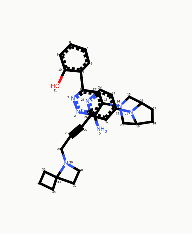 Nc1nnc(-c2ccccc2O)cc1N1CC2CCC(C1)N2c1ccnc(C#CCN2CCC23CCC3)c1